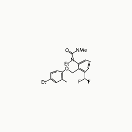 CCc1ccc(OCc2c(C(F)F)cccc2N(CC)C(=O)NC)c(C)c1